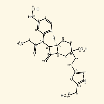 NCC(=O)N(c1cccc(NC=O)c1)C1C(=O)N2CC(CSc3nnc(CC(=O)O)o3)(C(=O)O)CS[C@H]12